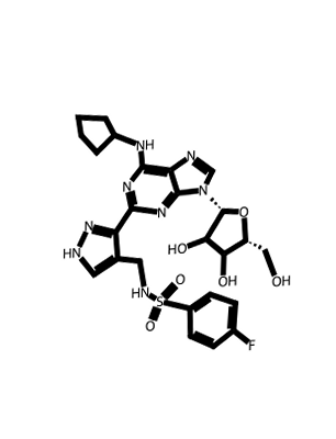 O=S(=O)(NCc1c[nH]nc1-c1nc(NC2CCCC2)c2ncn([C@@H]3O[C@H](CO)C(O)C3O)c2n1)c1ccc(F)cc1